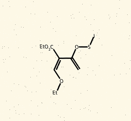 C=C(OSI)/C(=C\OCC)C(=O)OCC